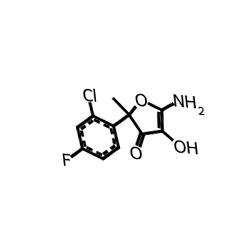 CC1(c2ccc(F)cc2Cl)OC(N)=C(O)C1=O